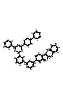 c1ccc(-c2ccc(-c3nc(-c4ccccc4)nc(-c4cccc(-c5cccc(-c6ccc7c(c6)oc6nc8ccccc8nc67)c5)c4)n3)cc2)cc1